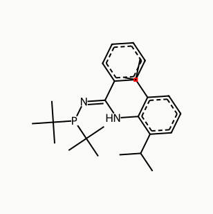 CC(C)c1cccc(C(C)C)c1N/C(=N\P(C(C)(C)C)C(C)(C)C)c1ccccc1